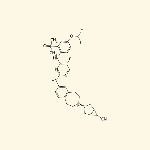 CP(C)(=O)c1cc(OC(F)F)ccc1Nc1nc(Nc2ccc3c(c2)CC[C@@H](N2CC4C(C#N)C4C2)CC3)ncc1Cl